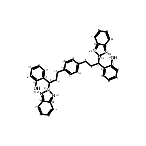 Oc1ccccc1C(CCc1ccc(CCC(c2ccccc2O)n2nc3ccccc3n2)cc1)n1nc2ccccc2n1